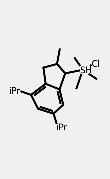 CC(C)c1cc(C(C)C)c2c(c1)C([SH](C)(C)(C)Cl)C(C)C2